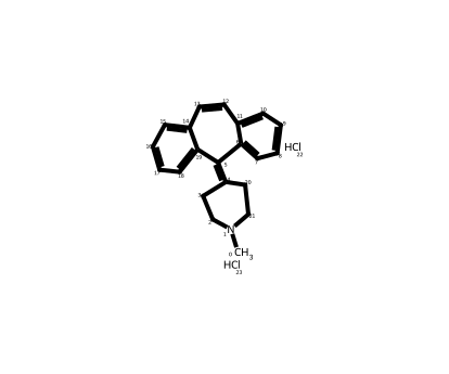 CN1CCC(=C2c3ccccc3C=Cc3ccccc32)CC1.Cl.Cl